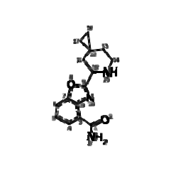 NC(=O)c1cccc2oc(C3CC4(CCN3)CC4)nc12